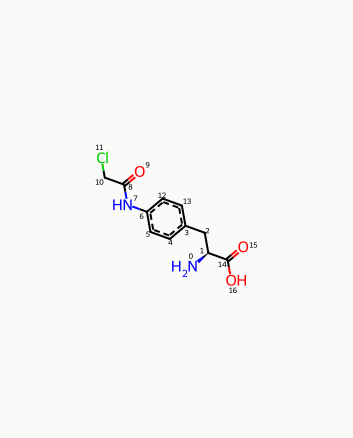 N[C@@H](Cc1ccc(NC(=O)CCl)cc1)C(=O)O